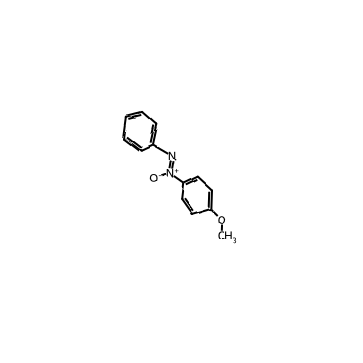 COc1ccc([N+]([O-])=Nc2ccccc2)cc1